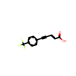 O=C(O)C=CC#Cc1ccc(C(F)(F)F)cc1